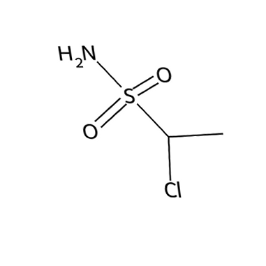 CC(Cl)S(N)(=O)=O